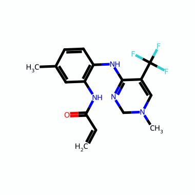 C=CC(=O)Nc1cc(C)ccc1NC1=NCN(C)C=C1C(F)(F)F